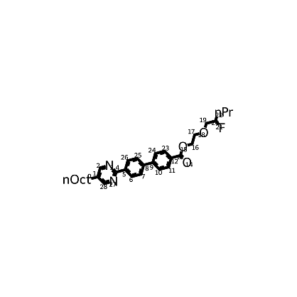 CCCCCCCCc1cnc(-c2ccc(-c3ccc(C(=O)OCCOCC(F)CCC)cc3)cc2)nc1